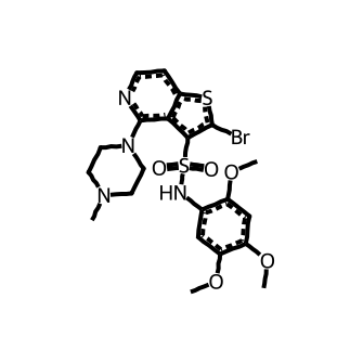 COc1cc(OC)c(OC)cc1NS(=O)(=O)c1c(Br)sc2ccnc(N3CCN(C)CC3)c12